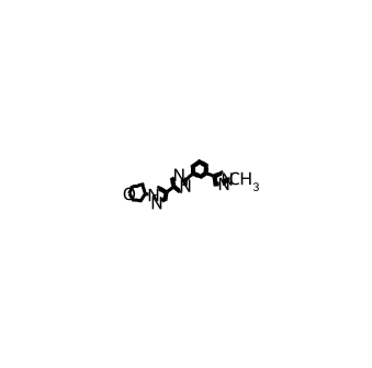 Cn1cc(-c2cccc(-c3ncc(-c4cnn(C5CCOCC5)c4)cn3)c2)cn1